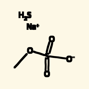 COS(=O)(=O)[O-].S.[Na+]